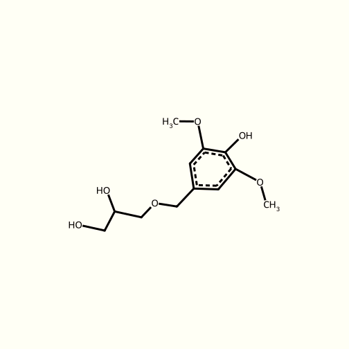 COc1cc(COCC(O)CO)cc(OC)c1O